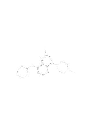 [O-][S+]1CCN(c2nc(Cl)nc3c(OC4CCCCC4)ncnc23)CC1